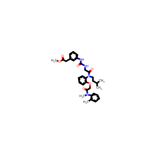 COC(=O)Cc1cccc(NC(=O)NCC(=O)N(CCC(C)C)c2ccccc2OCC(=O)N(C)c2ccccc2C)c1